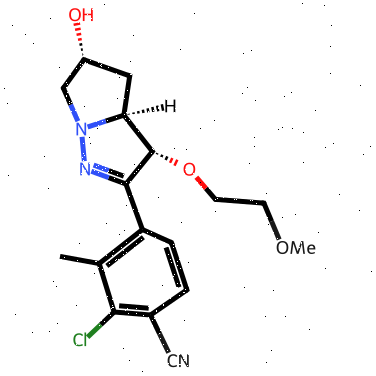 COCCO[C@@H]1C(c2ccc(C#N)c(Cl)c2C)=NN2C[C@H](O)C[C@@H]12